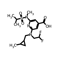 CC1CC1CN(CC(F)F)c1cc(C(=O)O)cc(N(C)S(=O)(=O)C(C)C)n1